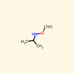 CC(C)NO[C]=O